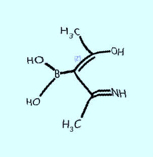 CC(=N)/C(B(O)O)=C(/C)O